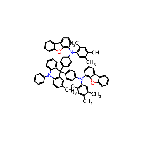 Cc1ccc2c(c1)C(c1ccc(N(c3cc(C)c(C)cc3C)c3cccc4c3oc3ccccc34)cc1)(c1ccc(N(c3cc(C)c(C)cc3C)c3cccc4c3oc3ccccc34)cc1)c1ccccc1N2c1ccccc1